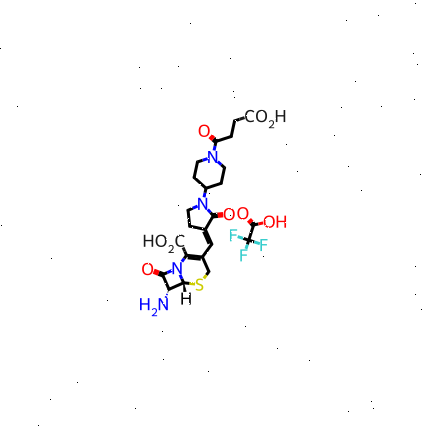 N[C@@H]1C(=O)N2C(C(=O)O)=C(C=C3CCN(C4CCN(C(=O)CCC(=O)O)CC4)C3=O)CS[C@H]12.O=C(O)C(F)(F)F